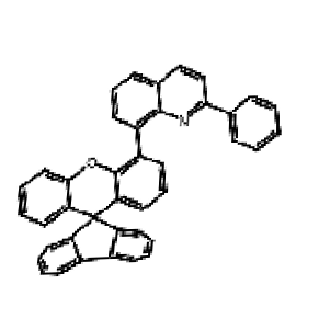 c1ccc(-c2ccc3cccc(-c4cccc5c4Oc4ccccc4C54c5ccccc5-c5ccccc54)c3n2)cc1